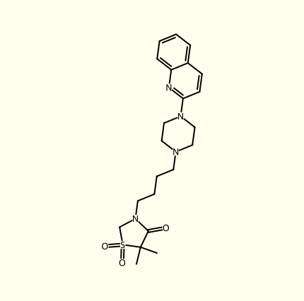 CC1(C)C(=O)N(CCCCN2CCN(c3ccc4ccccc4n3)CC2)CS1(=O)=O